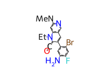 CCN1C(=C=O)C(c2cc(N)c(F)cc2Br)=Cc2cnc(NC)cc21